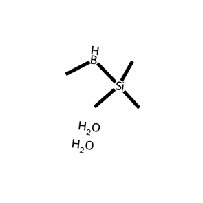 CB[Si](C)(C)C.O.O